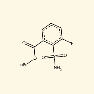 CCCOC(=O)c1cccc(F)c1S(N)(=O)=O